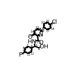 O=C(NC(CO)c1ccc(F)cc1)c1nn(-c2ccc(Cl)cc2)ccc1=O